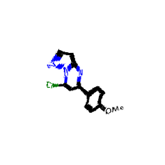 COc1ccc(-c2cc(Cl)n3nccc3n2)cc1